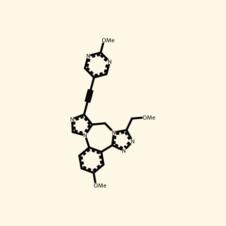 COCc1nnc2n1Cc1c(C#Cc3cnc(OC)nc3)ncn1-c1ccc(OC)cc1-2